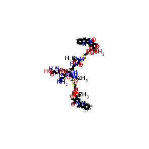 CC[C@]1(OC(=O)OCCSSC[C@@H](NC(C)=O)C(=O)N[C@@H](CCCCNC(=O)[C@@H](CSSCCOC(=O)O[C@]2(CC)C(=O)OCc3c2cc2n(c3=O)Cc3cc4ccccc4nc3-2)NC(C)=O)C(=O)N[C@@H](CCCN)C(=O)N[C@@H](CCC(=O)O)C(N)=O)C(=O)OCc2c1cc1n(c2=O)Cc2cc3ccccc3nc2-1